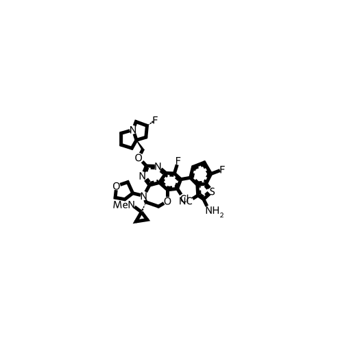 CNC1([C@H]2COc3c(Cl)c(-c4ccc(F)c5sc(N)c(C#N)c45)c(F)c4nc(OC[C@@]56CCCN5C[C@H](F)C6)nc(c34)N2C2CCOC2)CC1